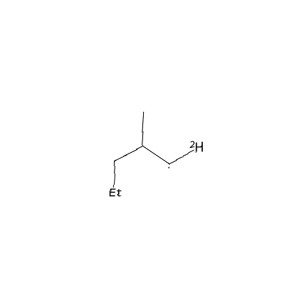 [2H][CH]C(C)CC[CH2]